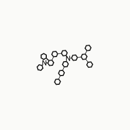 c1ccc(-c2ccc(-c3ccc(N(c4ccc(-c5cc(-c6ccccc6)cc(-c6ccccc6)c5)cc4)c4cccc(-c5cccc(-c6cccc7c6c6ccccc6n7-c6ccccc6)c5)c4)cc3)cc2)cc1